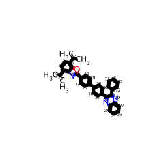 CC(C)c1ccc(C(C)C)c2oc(-c3ccc(-c4ccc(-c5nc6ccccc6nc5-c5ccccc5)cc4)cc3)nc12